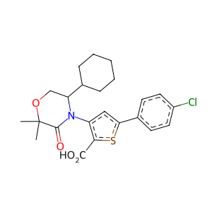 CC1(C)OCC(C2CCCCC2)N(c2cc(-c3ccc(Cl)cc3)sc2C(=O)O)C1=O